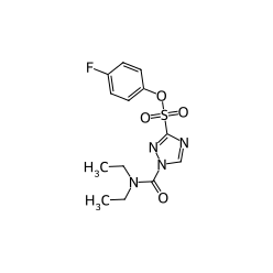 CCN(CC)C(=O)n1cnc(S(=O)(=O)Oc2ccc(F)cc2)n1